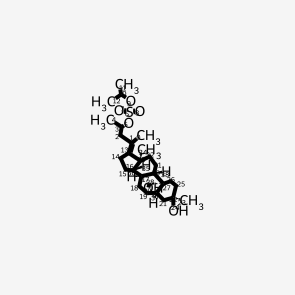 C/C(CC(C)OS(=O)(=O)OC(C)C)=C1/CC[C@H]2[C@@H]3CC[C@@H]4C[C@](C)(O)CC[C@]4(CO)[C@H]3CC[C@]12C